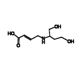 O=C(O)/C=C/CNC(CO)CCO